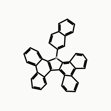 c1ccc2cc(-n3c4c5ccccc5c5ccccc5c4c4c5ccccc5c5ccccc5c43)ccc2c1